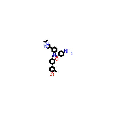 COc1ccc([C@H]2CC[C@H](CN(c3cccc(-c4cnn(C(C)C)c4)c3)C(=O)[C@H]3CC[C@H](N)CC3)CC2)cc1C